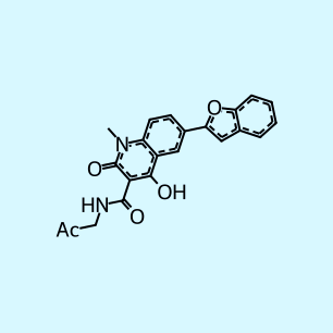 CC(=O)CNC(=O)c1c(O)c2cc(-c3cc4ccccc4o3)ccc2n(C)c1=O